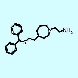 NCCN1CCCC(CCSC(c2ccccc2)c2ccccn2)CC1